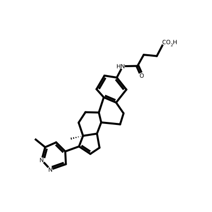 Cc1cc(C2=CCC3C4CCc5cc(NC(=O)CCC(=O)O)ccc5C4CC[C@]23C)cnn1